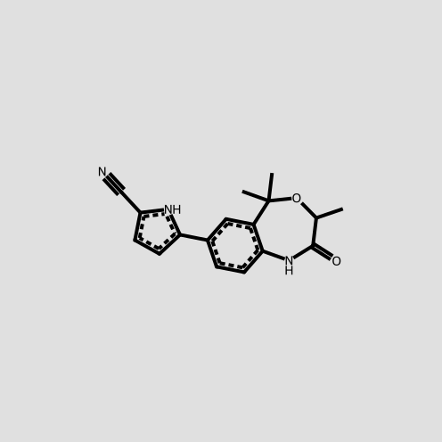 CC1OC(C)(C)c2cc(-c3ccc(C#N)[nH]3)ccc2NC1=O